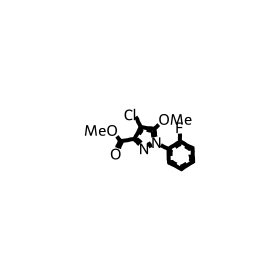 COC(=O)c1nn(-c2ccccc2F)c(OC)c1Cl